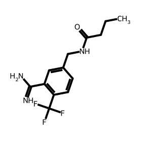 CCCC(=O)NCc1ccc(C(F)(F)F)c(C(=N)N)c1